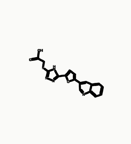 O=C(O)CSc1nnc(-c2ccc(-c3cnc4ccccc4c3)o2)[nH]1